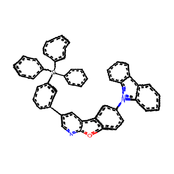 c1ccc([Si](c2ccccc2)(c2ccccc2)c2cccc(-c3cnc4oc5ccc(-n6c7ccccc7c7ccccc76)cc5c4c3)c2)cc1